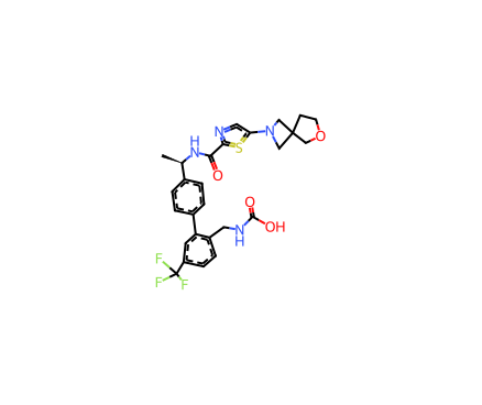 C[C@@H](NC(=O)c1ncc(N2CC3(CCOC3)C2)s1)c1ccc(-c2cc(C(F)(F)F)ccc2CNC(=O)O)cc1